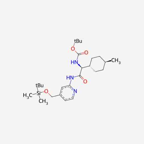 CC(C)(C)OC(=O)N[C@H](C(=O)Nc1cc(CO[Si](C)(C)C(C)(C)C)ccn1)[C@H]1CC[C@H](C)CC1